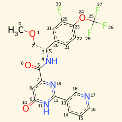 COC[C@@H](NC(=O)c1cc(=O)[nH]c(-c2cccnc2)n1)c1ccc(OC(F)(F)F)c(F)c1